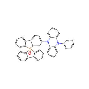 O=S12(c3ccccc3-c3ccccc31)c1ccccc1-c1ccc(N3c4ccccc4N(c4ccccc4)c4ccccc43)cc12